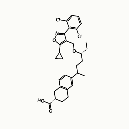 CC[C@H](CCC(C)c1ccc2c(c1)CC[C@H](C(=O)O)C2)OCc1c(-c2c(Cl)cccc2Cl)noc1C1CC1